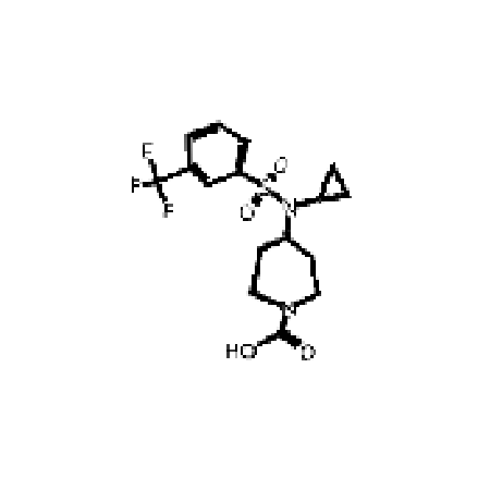 O=C(O)N1CCC(N(C2CC2)S(=O)(=O)c2cccc(C(F)(F)F)c2)CC1